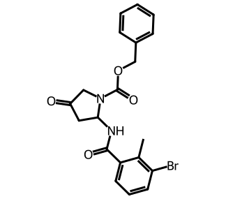 Cc1c(Br)cccc1C(=O)NC1CC(=O)CN1C(=O)OCc1ccccc1